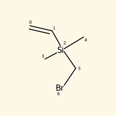 C=C[Si](C)(C)CBr